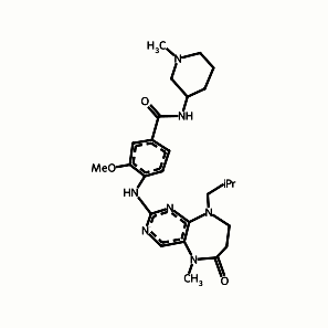 COc1cc(C(=O)NC2CCCN(C)C2)ccc1Nc1ncc2c(n1)N(CC(C)C)CCC(=O)N2C